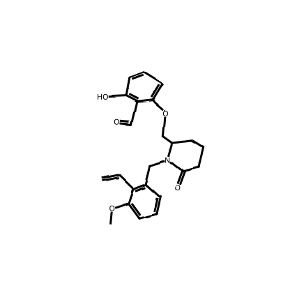 C=Cc1c(CN2C(=O)CCCC2COc2cccc(O)c2C=O)cccc1OC